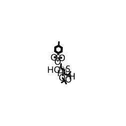 Cc1ccc(S(=O)(=O)OC[C@H](O)[C@@H]2SC[C@H]3OC(C)(C)O[C@@H]23)cc1